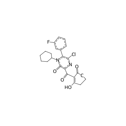 O=C1CCCC(O)=C1C(=O)c1nc(Cl)c(-c2cccc(F)c2)n(C2CCCCC2)c1=O